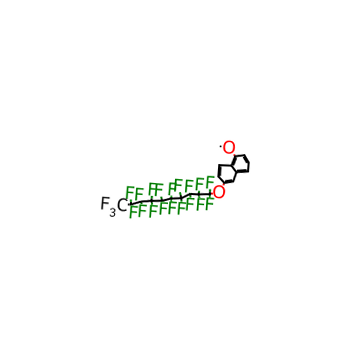 [O]c1cccc2cc(OC(F)(F)C(F)(F)C(F)(F)C(F)(F)C(F)(F)C(F)(F)C(F)(F)C(F)(F)C(F)(F)C(F)(F)F)ccc12